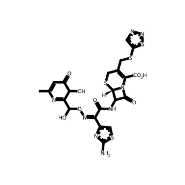 CC1=CC(=O)C(O)C(C(O)O/N=C(\C(=O)NC2C(=O)N3C(C(=O)O)=C(CSc4cnns4)CS[C@@H]23)c2csc(N)n2)=N1